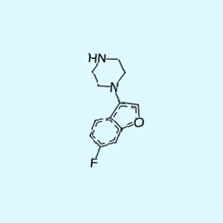 Fc1ccc2c(N3CCNCC3)coc2c1